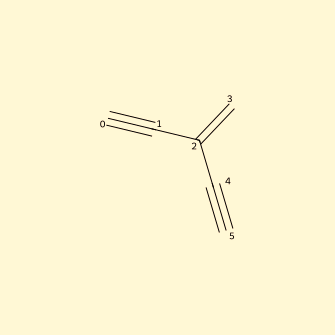 C#CC(=C)C#C